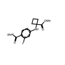 CNC(=O)c1ccc(NC2(C(=O)OC)CCC2)cc1F